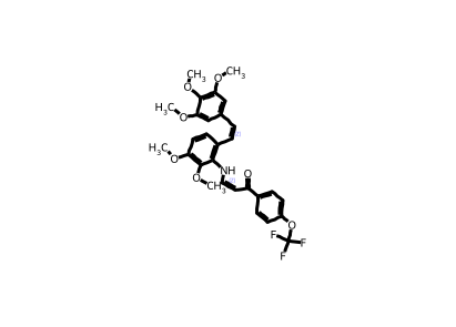 COc1cc(/C=C\c2ccc(OC)c(OC)c2N/C=C\C(=O)c2ccc(OC(F)(F)F)cc2)cc(OC)c1OC